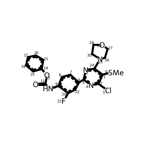 CSc1c(Cl)nc(-c2ccc(NC(=O)Oc3ccccc3)c(F)c2)nc1N1CCOCC1